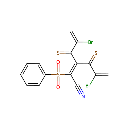 C=C(Br)C(=S)C(C(=S)C(=C)Br)=C(C#N)S(=O)(=O)c1ccccc1